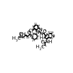 C=CC(=O)Nc1cc(C(=O)Nc2nc3cccc(Cl)c3n2[C@@H]2CCCCN(C(=O)/C=C/CN(C)C)C2)n2ccncc12